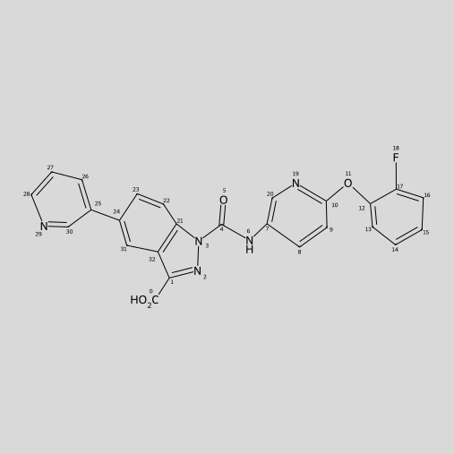 O=C(O)c1nn(C(=O)Nc2ccc(Oc3ccccc3F)nc2)c2ccc(-c3cccnc3)cc12